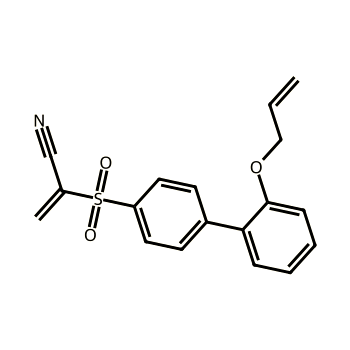 C=CCOc1ccccc1-c1ccc(S(=O)(=O)C(=C)C#N)cc1